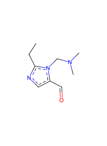 CCc1ncc(C=O)n1CN(C)C